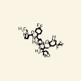 CCn1nccc1C(=O)N[C@H](c1cn2nc(C[C@H]3C[C@@H](C(F)(F)F)CNC3=O)c(C3(C)CCOCC3)nc2n1)C1CCC(F)(F)CC1